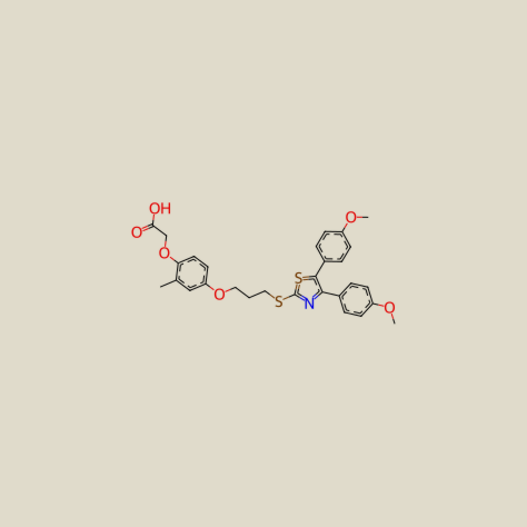 COc1ccc(-c2nc(SCCCOc3ccc(OCC(=O)O)c(C)c3)sc2-c2ccc(OC)cc2)cc1